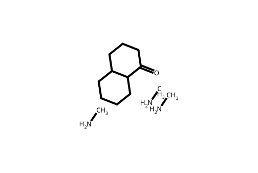 CN.CN.CN.O=C1CCCC2CCCCC12